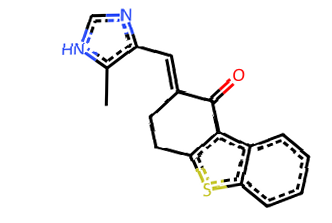 Cc1[nH]cnc1C=C1CCc2sc3ccccc3c2C1=O